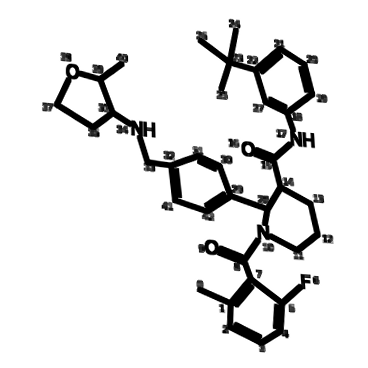 Cc1cccc(F)c1C(=O)N1CCCC(C(=O)Nc2cccc(C(C)(C)C)c2)C1c1ccc(CNC2CCOC2C)cc1